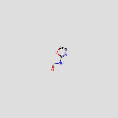 O=[C]Nc1ncco1